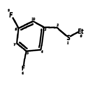 [CH2]CSCc1cc(F)cc(F)c1